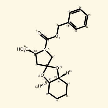 O=C(O)[C@@H]1CC2(CN1C(=O)OCc1ccccc1)O[C@@H]1CCCC[C@H]1O2